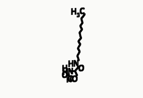 CCCCCCCCCCCCCCNC(=O)C(CO)NC(=O)O